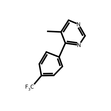 Cc1cncnc1-c1ccc(C(F)(F)F)cc1